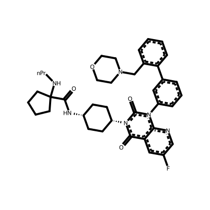 CCCNC1(C(=O)N[C@H]2CC[C@@H](n3c(=O)c4cc(F)cnc4n(-c4cccc(-c5ccccc5CN5CCOCC5)c4)c3=O)CC2)CCCC1